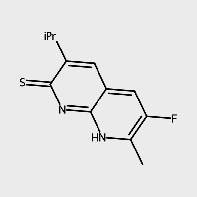 Cc1[nH]c2nc(=S)c(C(C)C)cc-2cc1F